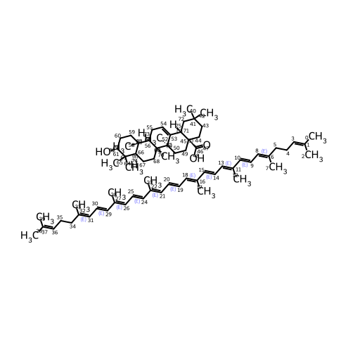 CC(C)=CCC/C(C)=C/C=C/C(C)=C/C=C/C(C)=C/C=C/C=C(C)/C=C/C=C(C)/C=C/C=C(\C)CCC=C(C)C.CC1(C)CC[C@]2(C(=O)O)CC[C@]3(C)C(=CC[C@@H]4[C@@]5(C)CC[C@H](O)C(C)(C)[C@@H]5CC[C@]43C)[C@@H]2C1